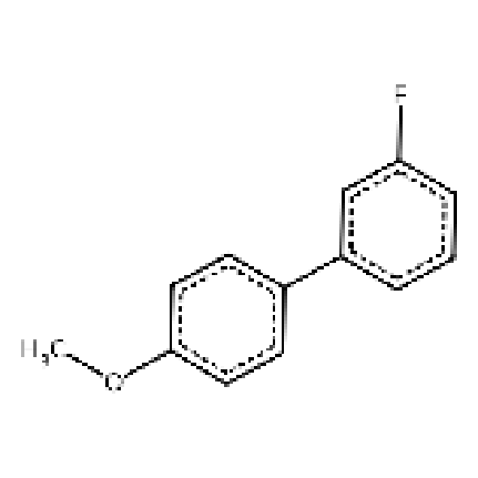 COc1ccc(-c2cccc(F)c2)cc1